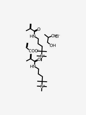 C=C(C)C(=O)NCCCC(C)(C)[N+](C)(C)C.C=C(C)C(=O)NCCCC(C)(C)[N+](C)(C)C.C=CC(=O)[O-].CC(O)CO.[Cl-]